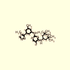 Cc1cc(Nc2ncc(F)c(NC3CC(C)(C)NC(C)(C)C3)n2)cc(-c2nnnn2C)c1